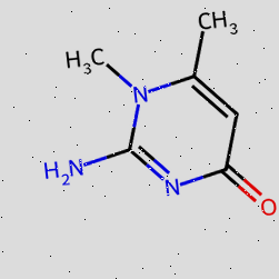 Cc1cc(=O)nc(N)n1C